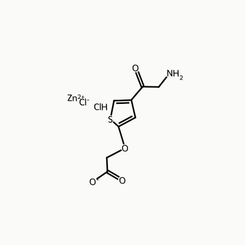 Cl.NCC(=O)c1csc(OCC(=O)[O-])c1.[Cl-].[Zn+2]